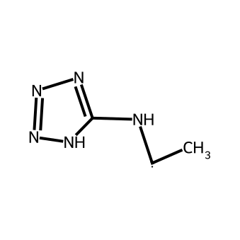 C[CH]Nc1nnn[nH]1